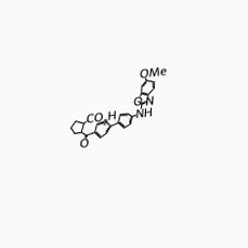 COc1ccc2nc(Nc3ccc(-c4ccc(C(=O)C5CCCC5C(=O)O)cc4)cc3)oc2c1